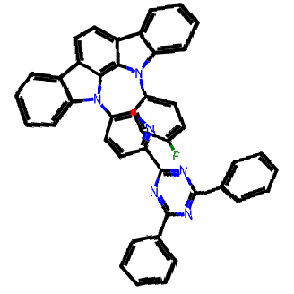 Fc1ccc(-n2c3ccccc3c3ccc4c5ccccc5n(-c5ccc(-c6nc(-c7ccccc7)nc(-c7ccccc7)n6)nc5)c4c32)cc1